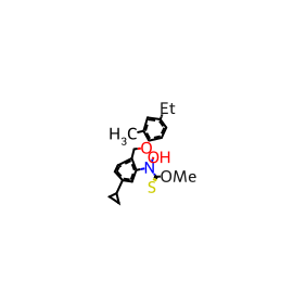 CCc1ccc(OCc2ccc(C3CC3)cc2N(O)C(=S)OC)c(C)c1